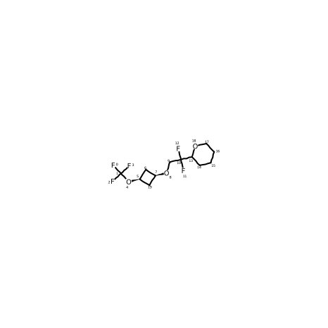 FC(F)(F)O[C@H]1C[C@@H](OCC(F)(F)C2CCCCO2)C1